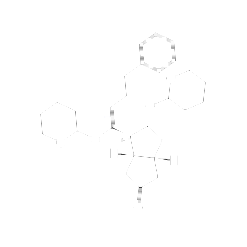 O=C1C[C@H]2C[C@@H](OC3CCCCO3)[C@H](/C(=C\CCc3ccccc3)OC3CCCCO3)[C@H]2C1